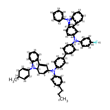 CCCc1ccc(N(C2=CCC3C(=C2)c2ccccc2N3C2=CCC(C)C=C2)c2ccc(-c3ccc(N(c4ccc(F)cc4)c4ccc5c(c4)c4ccccc4n5-c4ccccc4)cc3)cc2)cc1